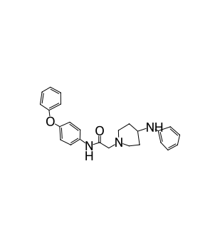 O=C(CN1CCC(Nc2ccccc2)CC1)Nc1ccc(Oc2ccccc2)cc1